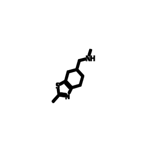 CNCC1CCc2nc(C)sc2C1